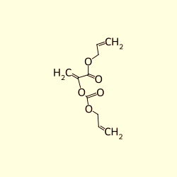 C=CCOC(=O)OC(=C)C(=O)OCC=C